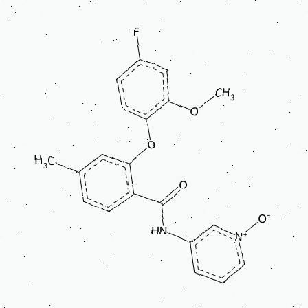 COc1cc(F)ccc1Oc1cc(C)ccc1C(=O)Nc1ccc[n+]([O-])c1